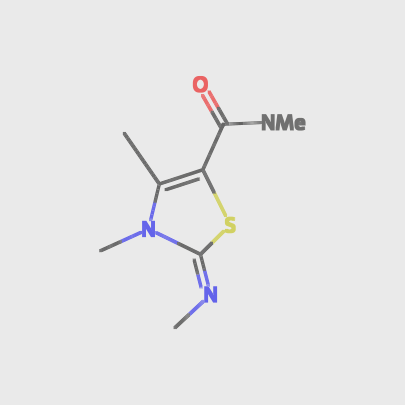 CN=c1sc(C(=O)NC)c(C)n1C